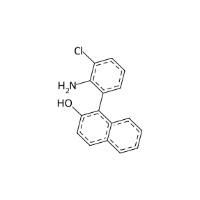 Nc1c(Cl)cccc1-c1c(O)ccc2ccccc12